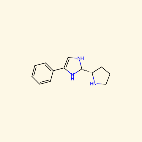 C1=C(c2ccccc2)NC([C@@H]2CCCN2)N1